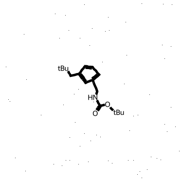 CC(C)(C)Cc1cccc(CNC(=O)OC(C)(C)C)c1